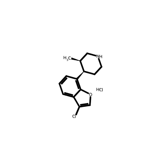 C[C@H]1CNCC[C@H]1c1cccc2c(Cl)coc12.Cl